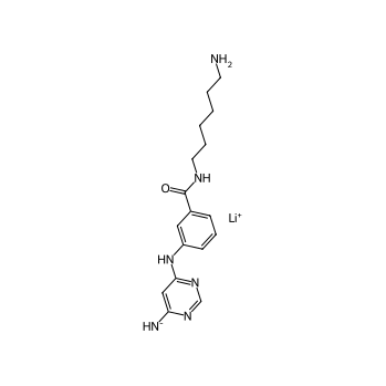 [Li+].[NH-]c1cc(Nc2cccc(C(=O)NCCCCCCN)c2)ncn1